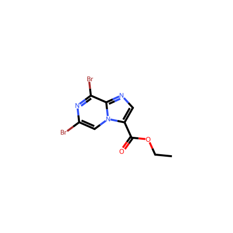 CCOC(=O)c1cnc2c(Br)nc(Br)cn12